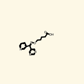 O=C(O)CCCCON=C(c1cccnc1)c1cncnc1